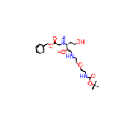 CC(C)(C)OC(=O)NCCOCCNCC(O)[C@H](CCO)NCC(=O)OCc1ccccc1